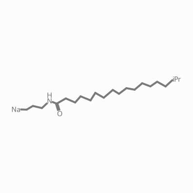 CC(C)CCCCCCCCCCCCCCC(=O)NCC[CH2][Na]